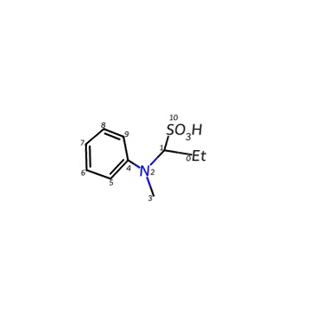 CCC(N(C)c1ccccc1)S(=O)(=O)O